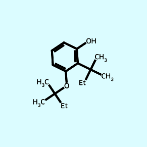 CCC(C)(C)Oc1cccc(O)c1C(C)(C)CC